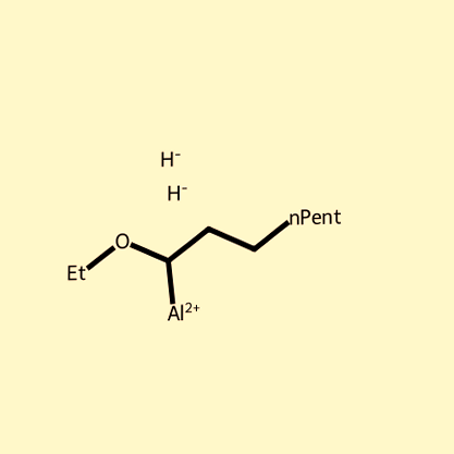 CCCCCCC[CH]([Al+2])OCC.[H-].[H-]